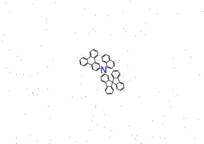 c1ccc2c(c1)-c1ccccc1C21c2ccccc2-c2ccc(N(c3ccc4c5ccccc5c5ccccc5c4c3)c3cccc4ccccc34)cc21